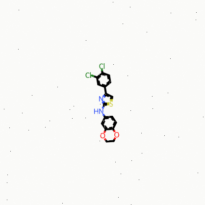 Clc1ccc(-c2csc(Nc3ccc4c(c3)OCCO4)n2)cc1Cl